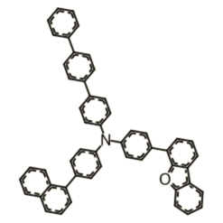 c1ccc(-c2ccc(-c3ccc(N(c4ccc(-c5cccc6ccccc56)cc4)c4ccc(-c5cccc6c5oc5ccccc56)cc4)cc3)cc2)cc1